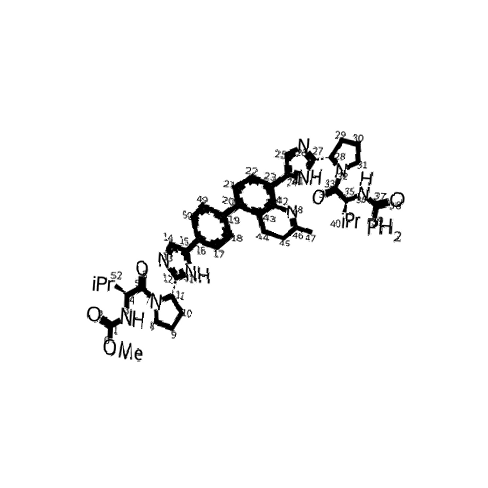 COC(=O)N[C@H](C(=O)N1CCC[C@H]1c1ncc(-c2ccc(-c3ccc(-c4cnc([C@@H]5CCCN5C(=O)[C@@H](NC(=O)P)C(C)C)[nH]4)c4c3CCC(C)=N4)cc2)[nH]1)C(C)C